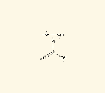 CCC(=O)O.[SeH][SeH]